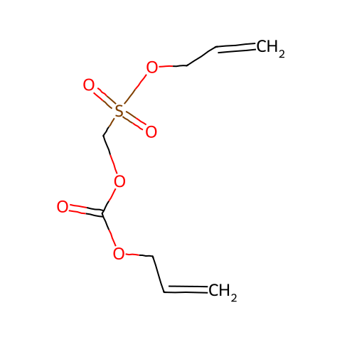 C=CCOC(=O)OCS(=O)(=O)OCC=C